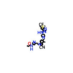 C=CC(=O)NC1=CC(CCn2c(C#N)cc3c(C)c(CN4CCC(Nc5ncnc6sc(CC(F)(F)F)cc56)CC4)ccc32)=NC1